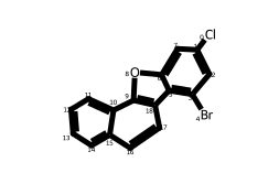 Clc1cc(Br)c2c(c1)oc1c3ccccc3ccc12